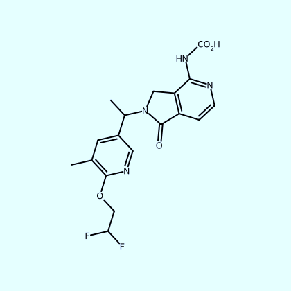 Cc1cc(C(C)N2Cc3c(ccnc3NC(=O)O)C2=O)cnc1OCC(F)F